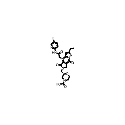 CCc1cc2n(CC(=O)Nc3ccc(F)cn3)c3c(c(=O)n2n1)CN(C[C@@H]1CN(C(=O)O)CCO1)C3=O